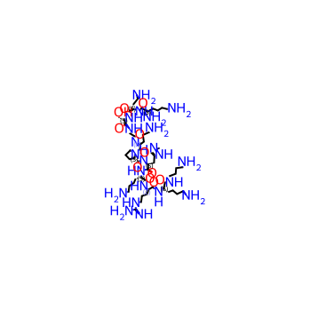 N=C(N)NCC/C=C(\NC(=O)[C@H](CCCCN)NC(=O)[C@H](Cc1cnc[nH]1)NC(=O)[C@@H]1CCCN1C(=O)/C(CCCN)=N/C(=O)CNC(=O)[C@H](CO)NC(=O)[C@H](CCN)NC(=O)[C@@H](N)CCCCN)C(=O)N[C@@H](CCCCN)C(=O)NCCCCN